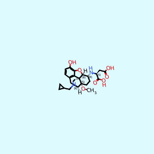 CO[C@@]12CC[C@@H](N[C@@H](CC(=O)O)C(=O)O)[C@@H]3Oc4c(O)ccc5c4[C@@]31CCN(CC1CC1)[C@@H]2C5